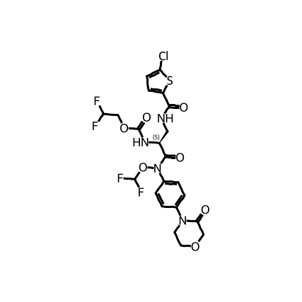 O=C(N[C@@H](CNC(=O)c1ccc(Cl)s1)C(=O)N(OC(F)F)c1ccc(N2CCOCC2=O)cc1)OCC(F)F